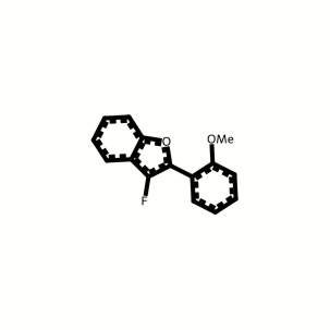 COc1ccccc1-c1oc2ccccc2c1F